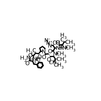 CC[C@H](C)[C@@H]([C@@H](CC(=O)N1CCCC1[C@H](OC)[C@@H](C)C(=O)NC(Cc1ccccc1)C(N)=O)OC)N(C)C(=O)C(NC(=O)C(NC)C(C)C)C(C)N=[N+]=[N-]